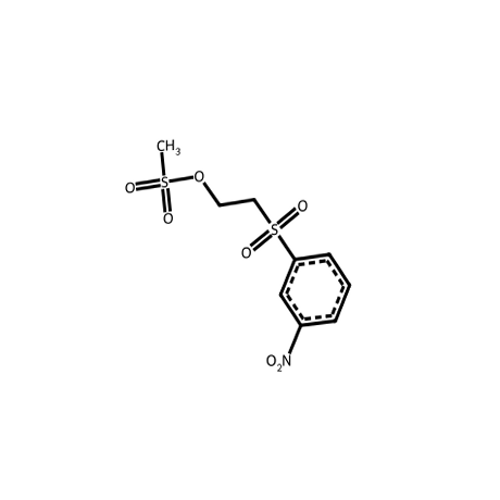 CS(=O)(=O)OCCS(=O)(=O)c1cccc([N+](=O)[O-])c1